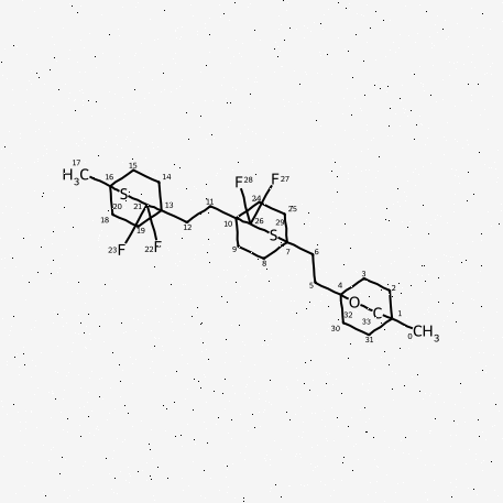 CC12CCC(CCC34CCC(CCC56CCC(C)(CC5)SC6(F)F)(CC3)C(F)(F)S4)(CC1)OC2